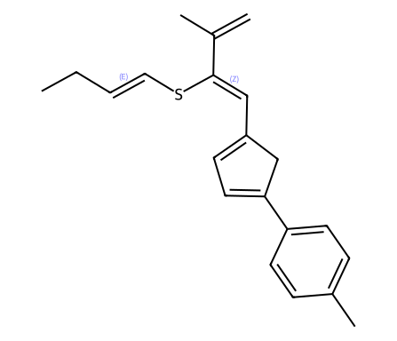 C=C(C)/C(=C/C1=CC=C(c2ccc(C)cc2)C1)S/C=C/CC